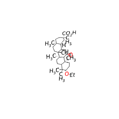 CCO[C@H]1CC[C@@]2(C)C(CC[C@]3(C)C2C(=O)C=C2[C@@H]4C[C@@](C)(C(=O)O)CC[C@]4(C)CC[C@]23C)C1(C)C